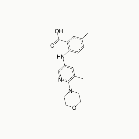 Cc1ccc(Nc2cnc(N3CCOCC3)c(C)c2)c(C(=O)O)c1